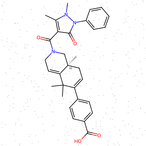 Cc1c(C(=O)N2CC=C3C(C)(C)C(c4ccc(C(=O)O)cc4)=CC[C@]3(C)C2)c(=O)n(-c2ccccc2)n1C